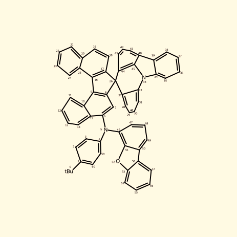 CC(C)(C)c1ccc(N(c2cc3c(c4ccccc24)-c2c(ccc4ccccc24)C32c3ccccc3-n3c4ccccc4c4cccc2c43)c2cccc3c2oc2ccccc23)cc1